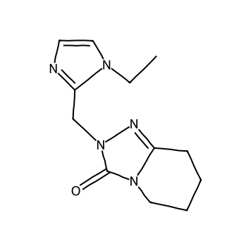 CCn1ccnc1Cn1nc2n(c1=O)CCCC2